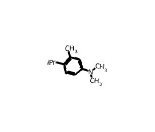 Cc1cc(N(C)C)ccc1C(C)C